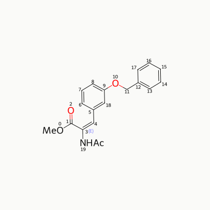 COC(=O)/C(=C\c1cccc(OCc2ccccc2)c1)NC(C)=O